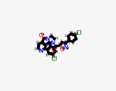 O=C(c1cc(-c2ccc(Cl)cc2)no1)N1CCN2C(=O)c3ccncc3C12c1ccc(Cl)cc1